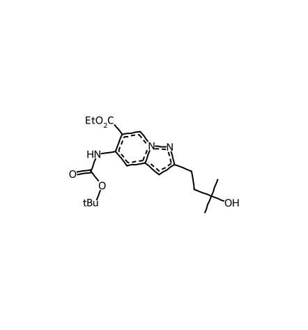 CCOC(=O)c1cn2nc(CCC(C)(C)O)cc2cc1NC(=O)OC(C)(C)C